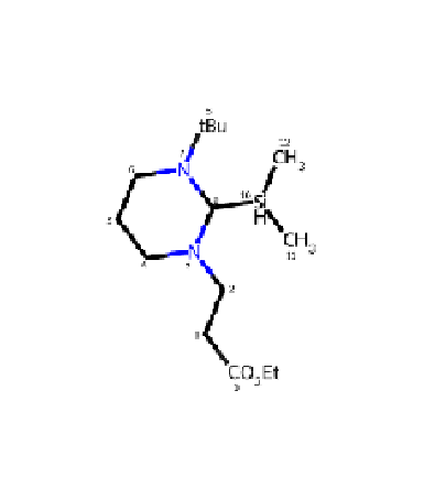 CCOC(=O)CCN1CCCN(C(C)(C)C)C1[SiH](C)C